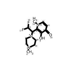 CN1CCN(C(c2c(O)c(=O)ccn2C)C(F)F)CC1